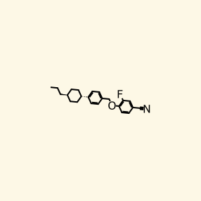 CCC[C@H]1CC[C@H](c2ccc(COc3ccc(C#N)cc3F)cc2)CC1